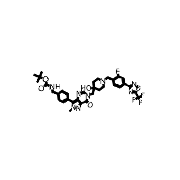 Cn1nc2c(=O)n(CC3(O)CCN(Cc4ccc(-c5noc(C(F)(F)F)n5)cc4F)CC3)cnc2c1-c1ccc(CNC(=O)OC(C)(C)C)cc1